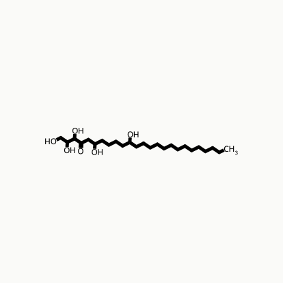 CCCCCCCCCCCCCCC(O)CCCCC(O)CC(=O)C(O)C(O)CO